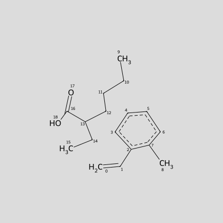 C=Cc1ccccc1C.CCCCC(CC)C(=O)O